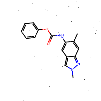 Cc1cc2nn(C)cc2cc1NC(=O)Oc1ccccc1